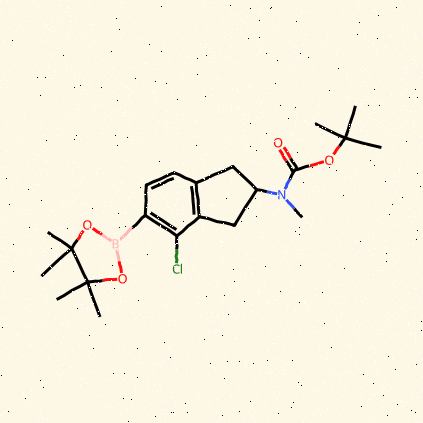 CN(C(=O)OC(C)(C)C)C1Cc2ccc(B3OC(C)(C)C(C)(C)O3)c(Cl)c2C1